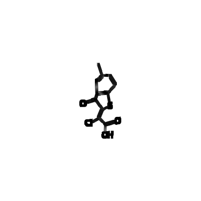 Cc1ccc2c(c1)C(=O)C(=C(Cl)C(=O)O)S2